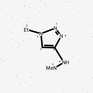 CCn1cc(NNC)nn1